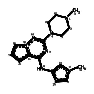 CN1CCN(c2nc(Nc3cn(C)cn3)c3cccn3n2)CC1